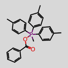 Cc1ccc(P(C)(OC(=O)c2ccccc2)(c2ccc(C)cc2)c2ccc(C)cc2)cc1